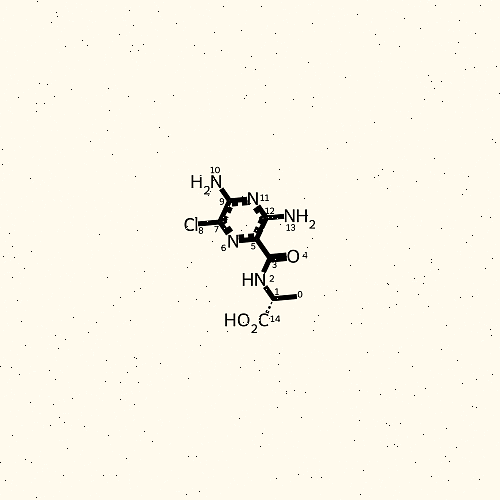 C[C@@H](NC(=O)c1nc(Cl)c(N)nc1N)C(=O)O